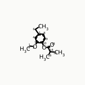 CCOc1cc(CC)ccc1OC(=O)C(C)C